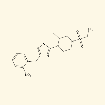 CC1CN(S(=O)(=O)CC(F)(F)F)CCN1c1nc(Cc2ccccc2[N+](=O)[O-])ns1